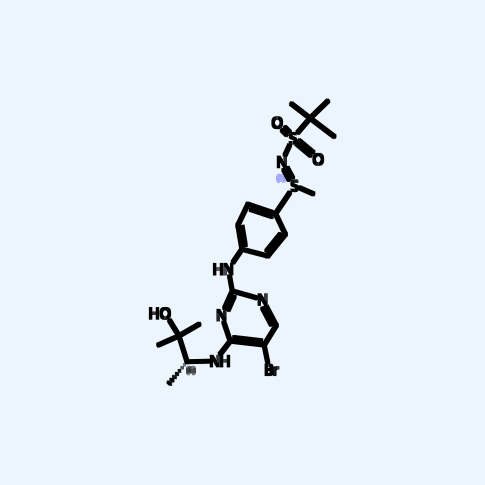 C[C@@H](Nc1nc(Nc2ccc(/S(C)=N/S(=O)(=O)C(C)(C)C)cc2)ncc1Br)C(C)(C)O